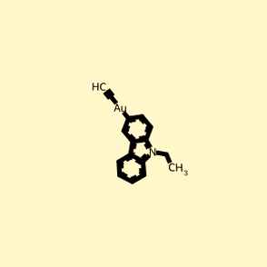 C#[C][Au][c]1ccc2c(c1)c1ccccc1n2CC